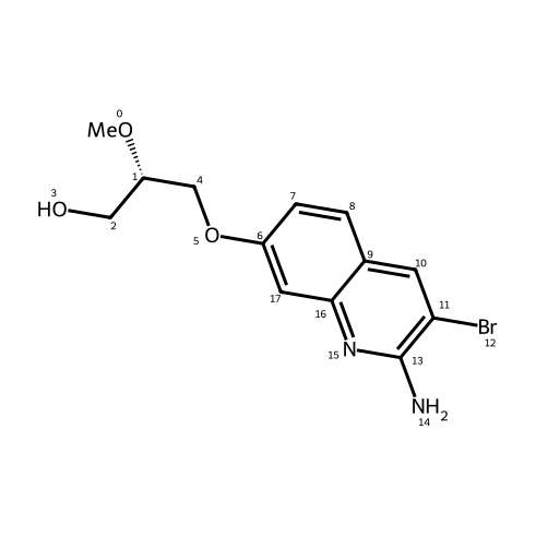 CO[C@@H](CO)COc1ccc2cc(Br)c(N)nc2c1